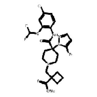 COC(=O)C1(CN2CCC(C(=O)Nc3ccc(Cl)cc3OC(F)F)(n3nccc3C(C)C)CC2)CCC1